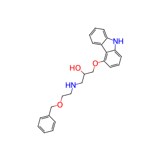 OC(CNCCOCc1ccccc1)COc1cccc2[nH]c3ccccc3c12